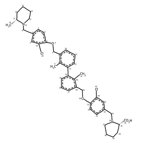 Cc1c(COc2ccc(CN3CCCC[C@H]3C)cc2Cl)cccc1-c1cccc(COc2ccc(CN3CCCC[C@H]3C(=O)O)cc2Cl)c1C